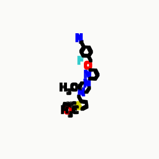 C[C@H]1CN(c2cccc(OCc3ccc(C#N)cc3F)n2)CCN1CC1=CC=CS1(C)C[C@@H]1CCO1